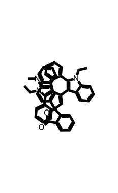 CCn1c(-c2ccccc2)c(C(=CC2(c3ccc(N(C)C)cc3)OC(=O)c3ccccc32)c2c(-c3ccccc3)n(CC)c3ccccc23)c2ccccc21